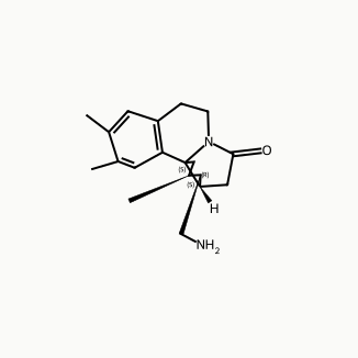 Cc1cc2c(cc1C)C13C[C@H](C)[C@@H](CN)[C@@H]1CC(=O)N3CC2